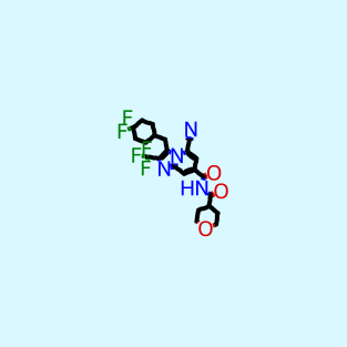 N#Cc1cc(C(=O)NC(=O)C2CCOCC2)cc2nc(C(F)(F)F)c(CC3CCC(F)(F)CC3)n12